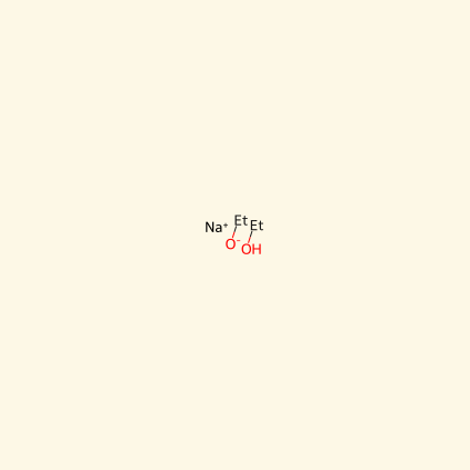 CCO.CC[O-].[Na+]